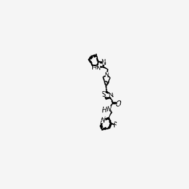 O=C(NCc1ncccc1F)c1csc(C2C3CN(Cc4nc5ccccc5[nH]4)CC32)n1